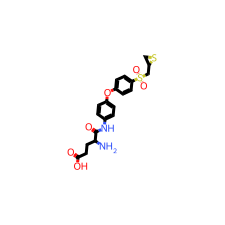 NC(CCC(=O)O)C(=O)Nc1ccc(Oc2ccc(S(=O)(=O)CC3CS3)cc2)cc1